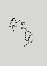 Cc1cncc(Cn2ccc(-c3ccc(C(F)F)c(F)c3)n2)c1